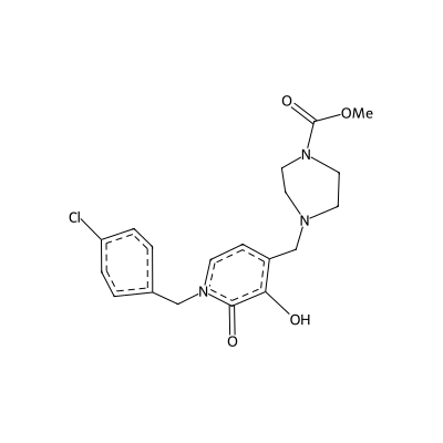 COC(=O)N1CCN(Cc2ccn(Cc3ccc(Cl)cc3)c(=O)c2O)CC1